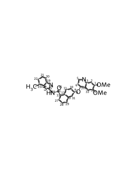 COc1cc2nccc(Oc3ccc4c(C(=O)Nc5nc6cccc(C)c6s5)cccc4c3)c2cc1OC